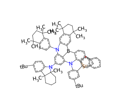 CC(C)(C)c1ccc(N2c3cc(N4c5ccc(C(C)(C)C)cc5C5(C)CCCCC45C)cc4c3B(c3cc5c(cc3N4c3ccc4c(c3)C(C)(C)CCC4(C)C)C(C)(C)CCC5(C)C)c3ccc4c(sc5ccccc54)c32)c(-c2ccccc2)c1